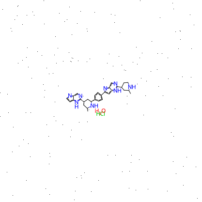 CC1CC(c2ncc3nc(-c4ccc(C5CC(c6ncc7nccc-7[nH]6)CC(C)N5)cc4)cc-3[nH]2)CCN1.Cl.O